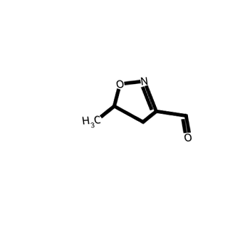 CC1CC(C=O)=NO1